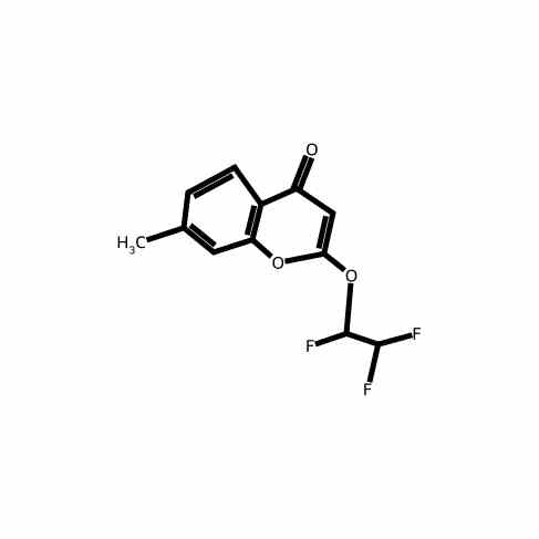 Cc1ccc2c(=O)cc(OC(F)C(F)F)oc2c1